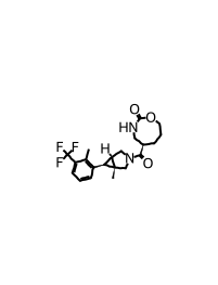 Cc1c([C@H]2[C@@H]3CN(C(=O)[C@@H]4CCCOC(=O)NC4)C[C@@]32C)cccc1C(F)(F)F